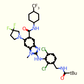 Cn1c(Nc2c(Cl)ccc(CNC(=O)C(C)(C)C)c2Cl)nc2cc(C(=O)NC3CCC(C(F)(F)F)CC3)c(N3CCC(F)(F)C3)cc21